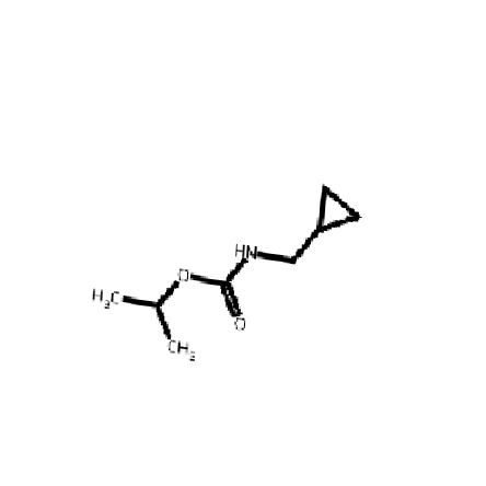 CC(C)OC(=O)NCC1CC1